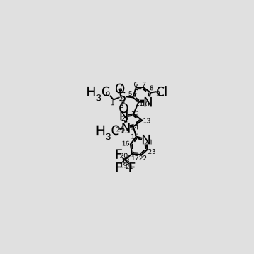 CCS(=O)(=O)c1ccc(Cl)nc1-c1cc(-c2cc(C(F)(F)F)ccn2)n(C)n1